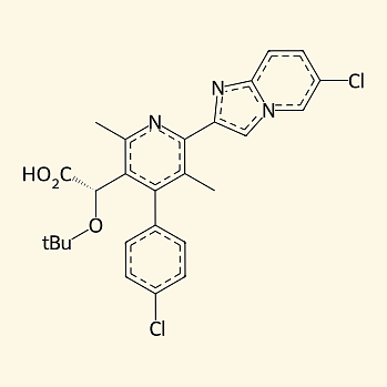 Cc1nc(-c2cn3cc(Cl)ccc3n2)c(C)c(-c2ccc(Cl)cc2)c1[C@H](OC(C)(C)C)C(=O)O